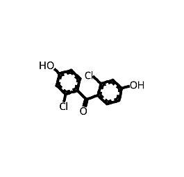 O=C(c1ccc(O)cc1Cl)c1ccc(O)cc1Cl